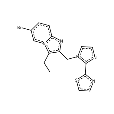 CCc1c(Cn2ccnc2-c2nccs2)nc2ccc(Br)cn12